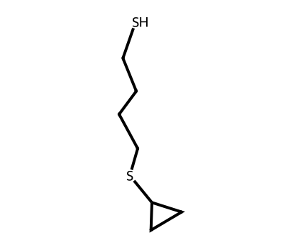 SCCCCSC1CC1